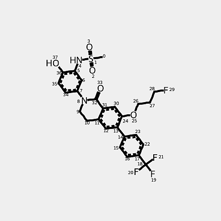 CS(=O)(=O)Nc1cc(N2CCc3cc(-c4ccc(C(F)(F)F)cc4)c(OCCCF)cc3C2=O)ccc1O